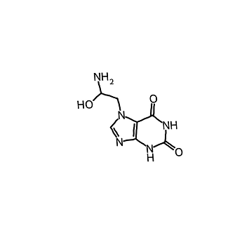 NC(O)Cn1cnc2[nH]c(=O)[nH]c(=O)c21